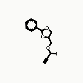 C#CC(I)OCC1COC(c2ccccc2)O1